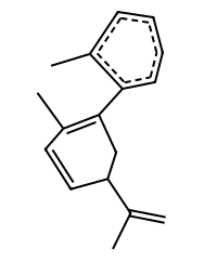 C=C(C)C1C=CC(C)=C(c2ccccc2C)C1